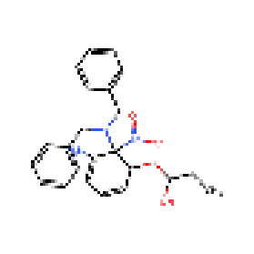 CCC(O)OC1C=CC=C(N)C1(N(Cc1ccccc1)Cc1ccccc1)[N+](=O)[O-]